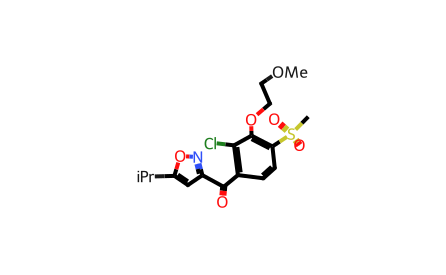 COCCOc1c(S(C)(=O)=O)ccc(C(=O)c2cc(C(C)C)on2)c1Cl